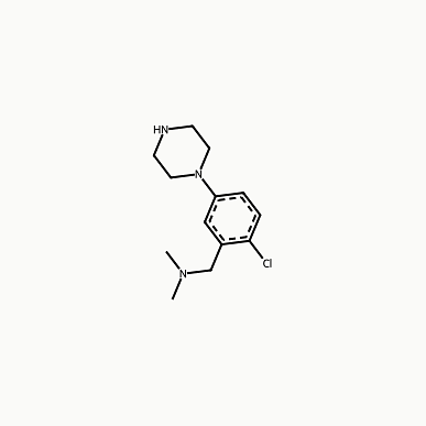 CN(C)Cc1cc(N2CCNCC2)ccc1Cl